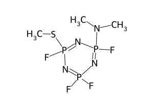 CSP1(F)=NP(F)(N(C)C)=NP(F)(F)=N1